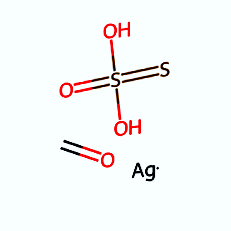 C=O.O=S(O)(O)=S.[Ag]